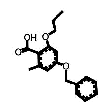 CCCOc1cc(OCc2ccccc2)cc(C)c1C(=O)O